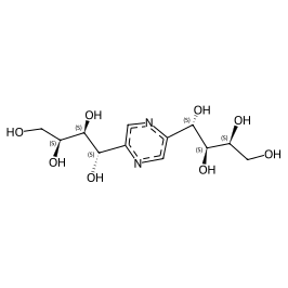 OC[C@H](O)[C@@H](O)[C@@H](O)c1cnc([C@H](O)[C@H](O)[C@@H](O)CO)cn1